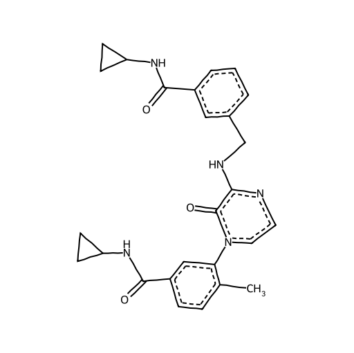 Cc1ccc(C(=O)NC2CC2)cc1-n1ccnc(NCc2cccc(C(=O)NC3CC3)c2)c1=O